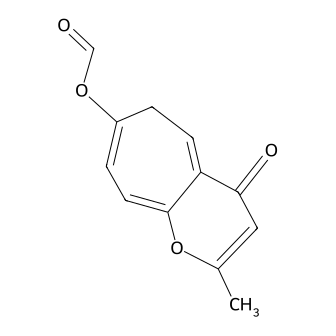 Cc1cc(=O)c2c(o1)=CC=C(OC=O)CC=2